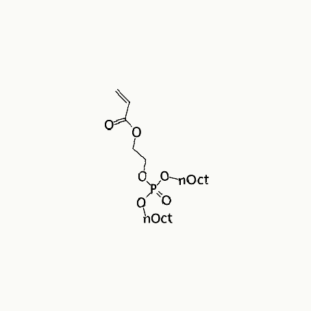 C=CC(=O)OCCOP(=O)(OCCCCCCCC)OCCCCCCCC